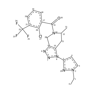 CCn1ccc(-n2nnc3c2CC(C)N(C(=O)c2cccc(C(F)(F)F)c2Cl)C3)n1